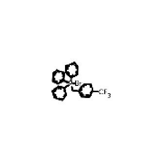 FC(F)(F)c1ccc(CP(Br)(c2ccccc2)(c2ccccc2)c2ccccc2)cc1